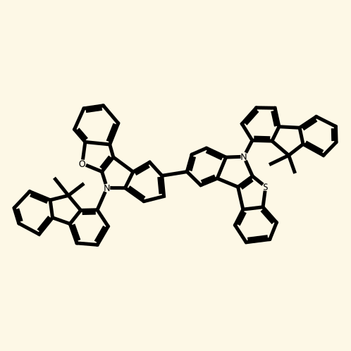 CC1(C)c2ccccc2-c2cccc(-n3c4ccc(-c5ccc6c(c5)c5c7ccccc7sc5n6-c5cccc6c5C(C)(C)c5ccccc5-6)cc4c4c5ccccc5oc43)c21